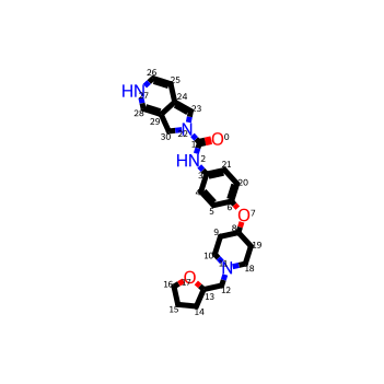 O=C(Nc1ccc(OC2CCN(CC3CCCO3)CC2)cc1)N1C=C2C=CNC=C2C1